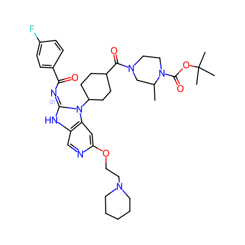 CC1CN(C(=O)C2CCC(n3/c(=N\C(=O)c4ccc(F)cc4)[nH]c4cnc(OCCN5CCCCC5)cc43)CC2)CCN1C(=O)OC(C)(C)C